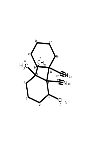 CC1CCCC(C)(C)C1(C#N)C1(C#N)CCCCC1